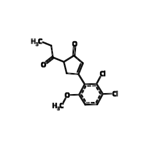 CCC(=O)C1CC(c2c(OC)ccc(Cl)c2Cl)=CC1=O